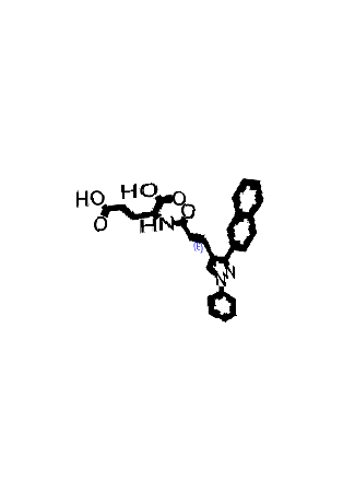 O=C(O)CCC(NC(=O)/C=C/c1cn(-c2ccccc2)nc1-c1ccc2ccccc2c1)C(=O)O